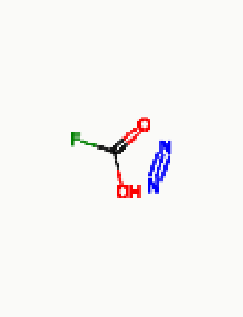 N#N.O=C(O)F